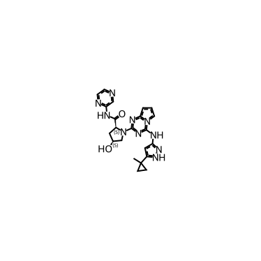 CC1(c2cc(Nc3nc(N4C[C@@H](O)C[C@H]4C(=O)Nc4cnccn4)nc4cccn34)n[nH]2)CC1